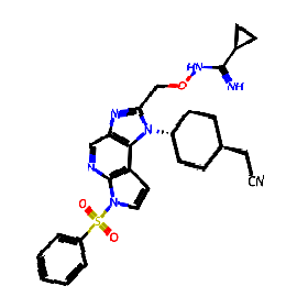 N#CC[C@H]1CC[C@H](n2c(CONC(=N)C3CC3)nc3cnc4c(ccn4S(=O)(=O)c4ccccc4)c32)CC1